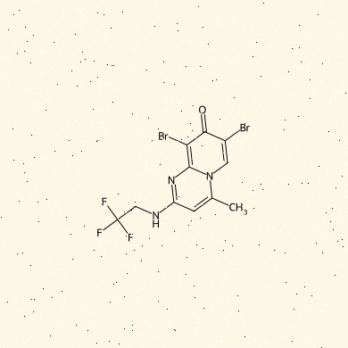 Cc1cc(NCC(F)(F)F)nc2c(Br)c(=O)c(Br)cn12